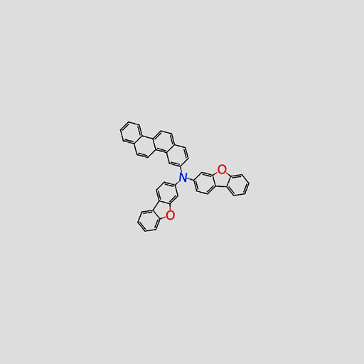 c1ccc2c(c1)ccc1c3cc(N(c4ccc5c(c4)oc4ccccc45)c4ccc5c(c4)oc4ccccc45)ccc3ccc21